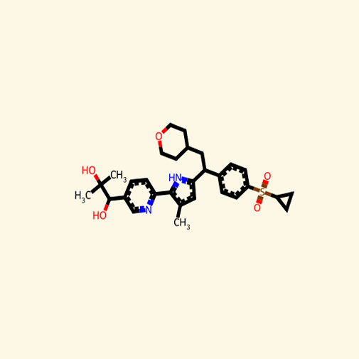 Cc1cc(C(CC2CCOCC2)c2ccc(S(=O)(=O)C3CC3)cc2)[nH]c1-c1ccc(C(O)C(C)(C)O)cn1